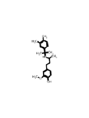 COc1cc(CCC(C)NC(C)(C)c2ccc(C)c(C)c2)ccc1O